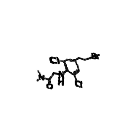 CN(C)C(=O)CNc1c(Cl)cc(CCBr)cc1Cl